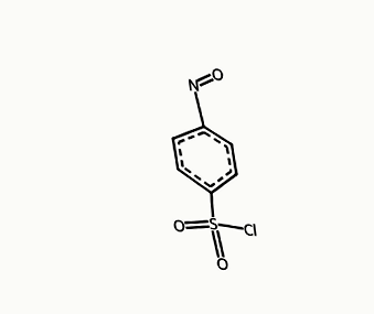 O=Nc1ccc(S(=O)(=O)Cl)cc1